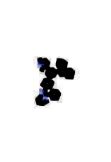 Cc1ccc(-c2cc(-c3ccc(-c4nc5ccccn5c4-c4ccccc4)cc3)cc(-c3cc4ccccc4c4ccccc34)c2)c(C)n1